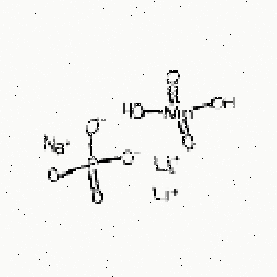 O=P([O-])([O-])[O-].[Li+].[Li+].[Na+].[O]=[Mn](=[O])([OH])[OH]